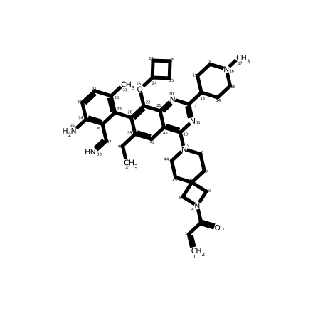 C=CC(=O)N1CC2(CCN(c3nc(C4CCN(C)CC4)nc4c(OC5CCC5)c(-c5c(C)ccc(N)c5C=N)c(CC)cc34)CC2)C1